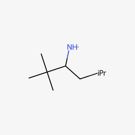 CC(C)CC([NH])C(C)(C)C